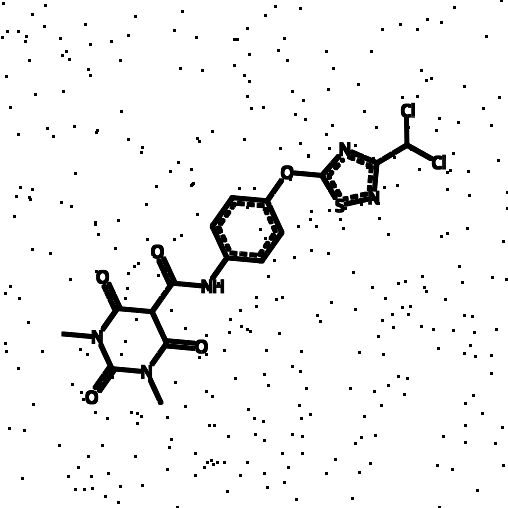 CN1C(=O)C(C(=O)Nc2ccc(Oc3nc(C(Cl)Cl)ns3)cc2)C(=O)N(C)C1=O